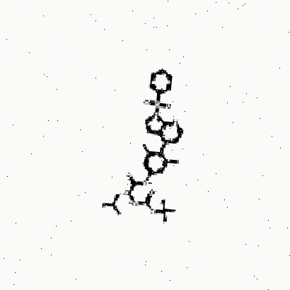 Cc1cc(NC(=O)[C@@H](CC(C)C)NC(=O)OC(C)(C)C)cc(C)c1-c1ccnc2c1ccn2S(=O)(=O)c1ccccc1